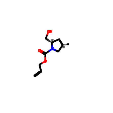 C=CCOC(=O)N1C[C@@H](C)C[C@H]1CO